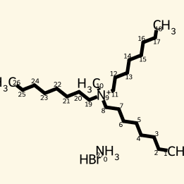 Br.CCCCCCCC[N+](C)(CCCCCCCC)CCCCCCCC.N